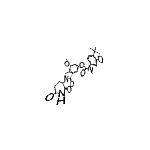 COc1cc(OC(=O)N(C)c2ccc3c(c2)OCC3(C)C)cc2c1CN(C1CCC(=O)NC1=O)C2=O